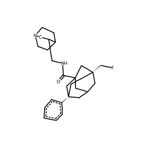 O=C(NCC1CN2CCC1CC2)C12CC3C[C@](CF)(C1)C[C@@](c1ccccc1)(C3)C2